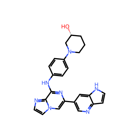 O[C@@H]1CCCN(c2ccc(Nc3nc(-c4cnc5cc[nH]c5c4)cn4ccnc34)cc2)C1